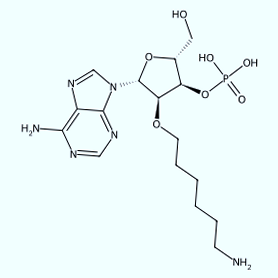 NCCCCCCO[C@@H]1[C@H](OP(=O)(O)O)[C@@H](CO)O[C@H]1n1cnc2c(N)ncnc21